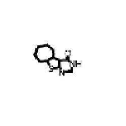 O=C1NC=NC2SC3CCCCCC3C12